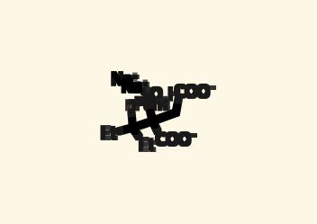 CCCCCC(CC)(CC)C(CC(=O)[O-])(C(=O)[O-])S(=O)(=O)O.[Na+].[Na+]